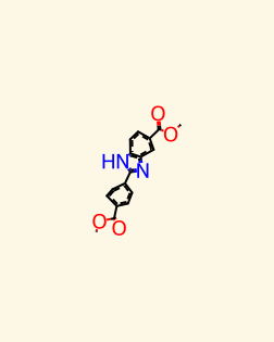 COC(=O)c1ccc(-c2nc3cc(C(=O)OC)ccc3[nH]2)cc1